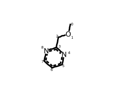 COCc1ncccn1